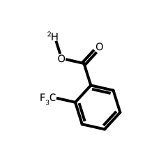 [2H]OC(=O)c1ccccc1C(F)(F)F